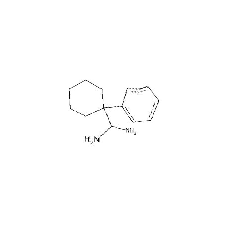 NC(N)C1(c2ccccc2)CCCCC1